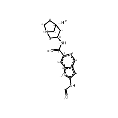 O=CNc1cc2cnc(C(=O)N[C@@H]3C[C@@H]4CCN(C4)C3)cc2o1